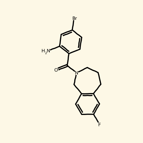 Nc1cc(Br)ccc1C(=O)N1CCCc2cc(F)ccc2C1